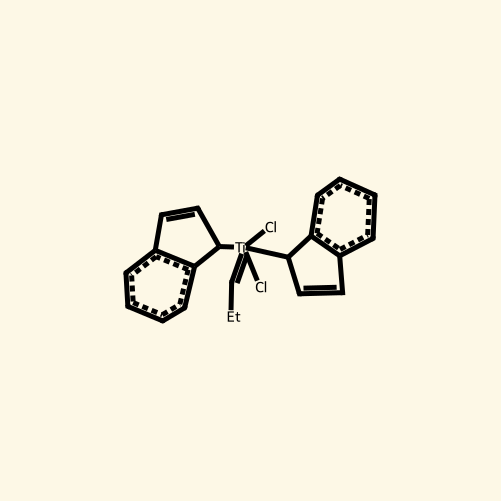 CC[CH]=[Ti]([Cl])([Cl])([CH]1C=Cc2ccccc21)[CH]1C=Cc2ccccc21